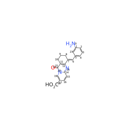 Nc1cccc(C=C2CCCc3c2nc2ccc(C(=O)O)cn2c3=O)c1